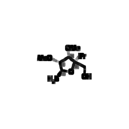 B[C@@H]1O[C@@](CO)(C(C)C)[C@@H](OC)[C@H]1OC